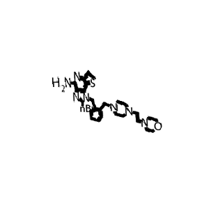 CCCCc1nc2c(N)nc3ccsc3c2n1Cc1ccccc1CN1CCN(CCN2CCOCC2)CC1